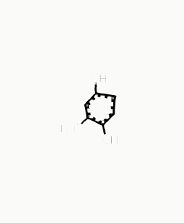 Cc1[c]cc(C)c(C)[c]1